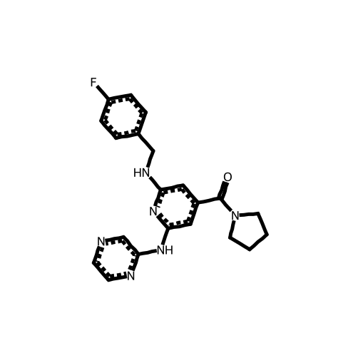 O=C(c1cc(NCc2ccc(F)cc2)nc(Nc2cnccn2)c1)N1CCCC1